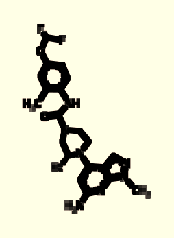 CC[C@H]1CN(C(=O)Nc2ccc(OC(F)F)cc2C)CCN1c1cc(N)nc2c1cnn2C